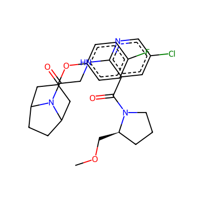 COC[C@@H]1CCCN1C(=O)c1cc(Cl)cnc1NCC(=O)N1C2CCC1CC(Oc1ccc(F)cc1)C2